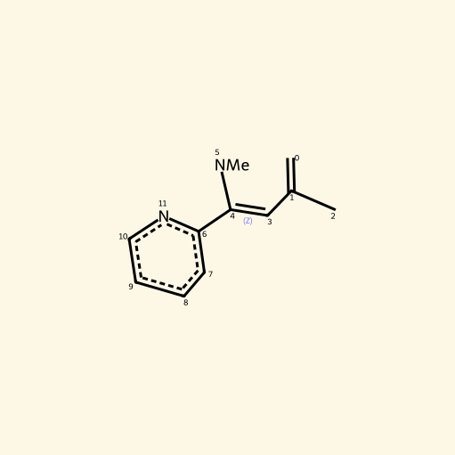 C=C(C)/C=C(\NC)c1ccccn1